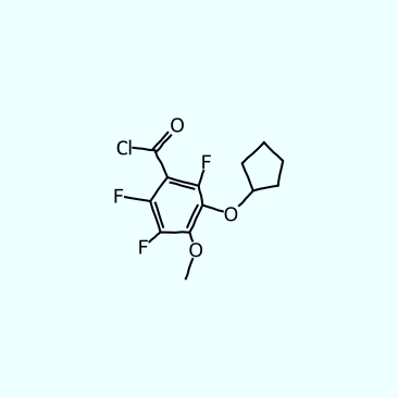 COc1c(F)c(F)c(C(=O)Cl)c(F)c1OC1CCCC1